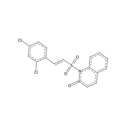 O=c1ccc2ccccc2n1S(=O)(=O)/C=C/c1ccc(Cl)cc1Cl